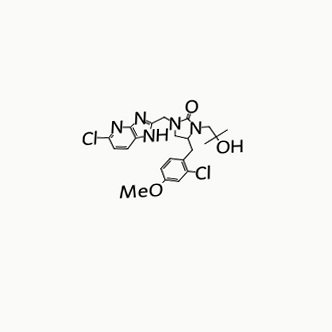 COc1ccc(CC2CN(Cc3nc4nc(Cl)ccc4[nH]3)C(=O)N2CC(C)(C)O)c(Cl)c1